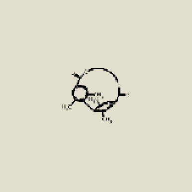 Cc1cc2cc(C)c1-c1c(C)cc(cc1C)C(=O)OCCCCOC2=O